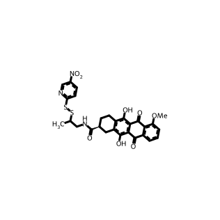 COc1cccc2c1C(=O)c1c(O)c3c(c(O)c1C2=O)C[C@@H](C(=O)NCC(C)SSc1ccc([N+](=O)[O-])cn1)CC3